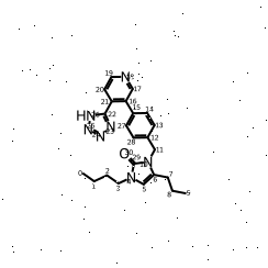 CCCCn1cc(CCC)n(Cc2ccc(-c3cnccc3-c3nnn[nH]3)cc2)c1=O